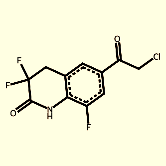 O=C(CCl)c1cc(F)c2c(c1)CC(F)(F)C(=O)N2